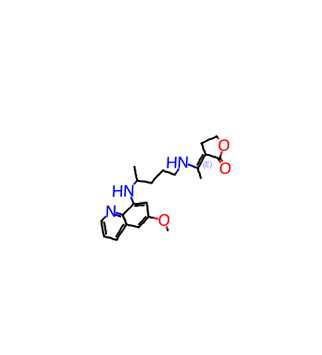 COc1cc(NC(C)CCCN/C(C)=C2\CCOC2=O)c2ncccc2c1